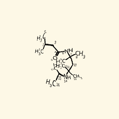 CC(C)CC(=O)NC(C)(C)CC(C)(C)NC(C)C